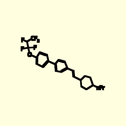 CCCC1CCC(C=Cc2ccc(-c3ccc(OC(F)(F)C(F)C(F)(F)F)cc3)cc2)CC1